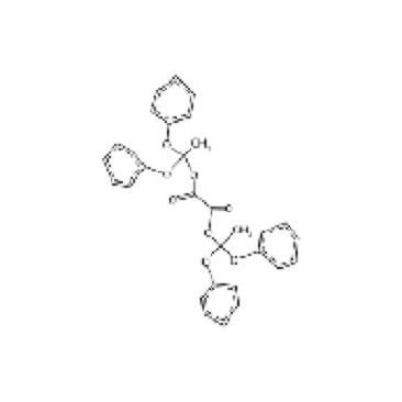 CC(OC(=O)C(=O)OC(C)(Oc1ccccc1)Oc1ccccc1)(Oc1ccccc1)Oc1ccccc1